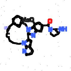 COc1cc(C(=O)N2CCC3NC32)cc2nc3n(c12)Cc1cccc(c1)/C=C\CCCCn1c-3cc2cccnc21